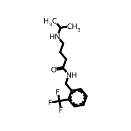 CC(C)NCCCC(=O)NCc1ccccc1C(F)(F)F